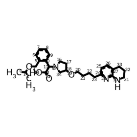 CC(C)OCc1ccccc1C(C(=O)O)N1CCC(OCCCCc2ccc3c(n2)NCCC3)C1